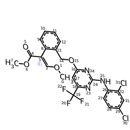 CO/C=C(/C(=O)OC)c1ccccc1COc1cc(C(F)(F)F)nc(Nc2ccc(Cl)cc2Cl)n1